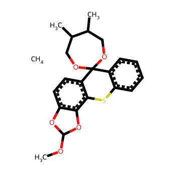 C.COC1Oc2ccc3c(c2O1)Sc1ccccc1C31OCC(C)C(C)CO1